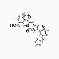 COCC1Cn2cc(-c3cc(NC4CCCC4)ncc3Cl)cc2C(=O)N1Cc1cc(F)ccc1CO